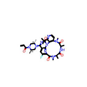 C=CC(=O)N1C[C@H](C)N(c2nc(=O)n3c4nc(c(F)cc24)C(=O)N(C)C(C)C(=O)NC(C)C(=O)N(C)c2ccnc(C(C)C)c2-3)C[C@H]1C